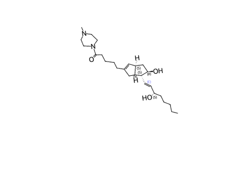 CCCCC[C@H](O)/C=C/[C@@H]1[C@H]2CC(CCCCC(=O)N3CCN(C)CC3)=C[C@H]2C[C@H]1O